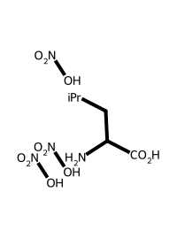 CC(C)CC(N)C(=O)O.O=[N+]([O-])O.O=[N+]([O-])O.O=[N+]([O-])O